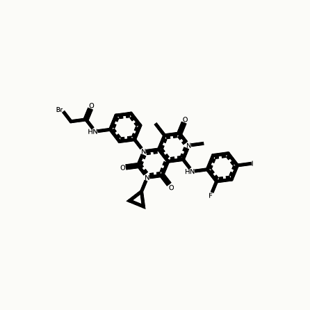 Cc1c(=O)n(C)c(Nc2ccc(I)cc2F)c2c(=O)n(C3CC3)c(=O)n(-c3cccc(NC(=O)CBr)c3)c12